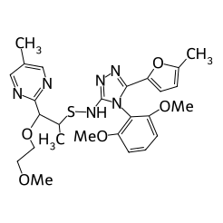 COCCOC(c1ncc(C)cn1)C(C)SNc1nnc(-c2ccc(C)o2)n1-c1c(OC)cccc1OC